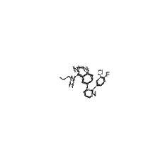 CCCNc1ncnc2ccc(-c3cccnc3-c3ccc(F)c(Cl)c3)cc12